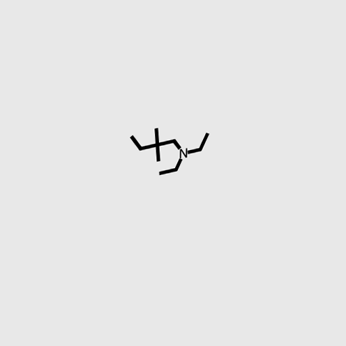 CCN(CC)CC(C)(C)CC